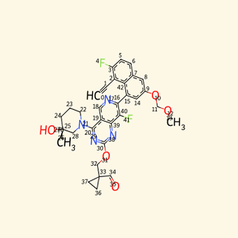 C#Cc1c(F)ccc2cc(OCOC)cc(-c3ncc4c(N5CCC[C@@](C)(O)C5)nc(OCC5(C=O)CC5)nc4c3F)c12